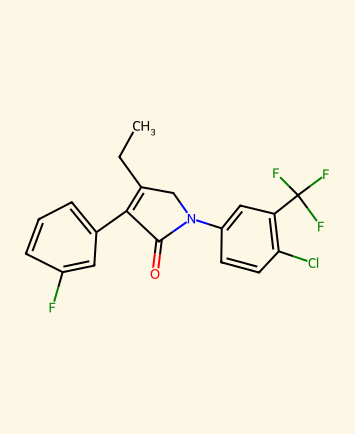 CCC1=C(c2cccc(F)c2)C(=O)N(c2ccc(Cl)c(C(F)(F)F)c2)C1